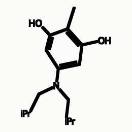 Cc1c(O)cc(N(CC(C)C)CC(C)C)cc1O